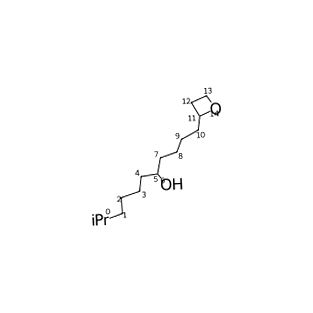 CC(C)CCCCC(O)CCCCC1CCO1